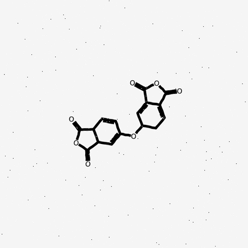 O=C1OC(=O)C2=CC(OC3=CC4C(=O)OC(=O)C4C=C3)CC=C12